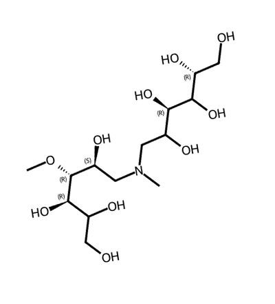 CO[C@@H]([C@H](O)C(O)CO)[C@@H](O)CN(C)CC(O)[C@@H](O)C(O)[C@H](O)CO